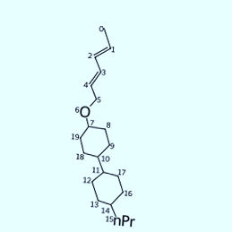 CC=CC=CCOC1CCC(C2CCC(CCC)CC2)CC1